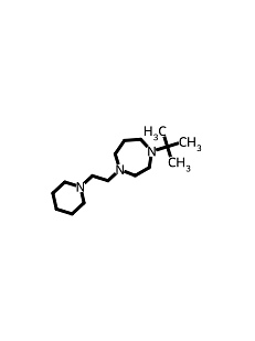 CC(C)(C)N1CCCN(CCN2CCCCC2)CC1